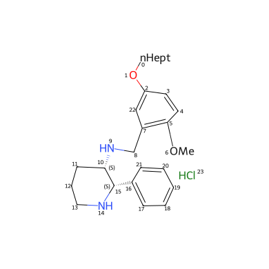 CCCCCCCOc1ccc(OC)c(CN[C@H]2CCCN[C@H]2c2ccccc2)c1.Cl